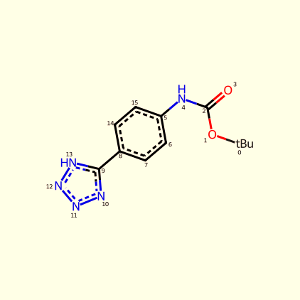 CC(C)(C)OC(=O)Nc1ccc(-c2nnn[nH]2)cc1